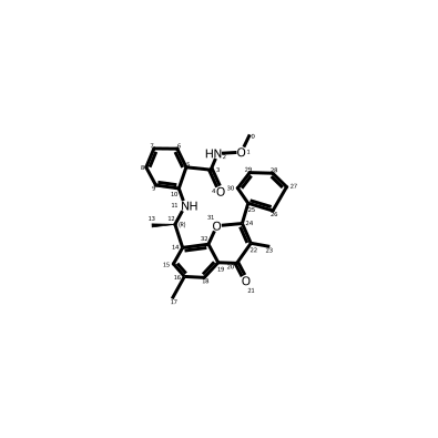 CONC(=O)c1ccccc1N[C@H](C)c1cc(C)cc2c(=O)c(C)c(-c3ccccc3)oc12